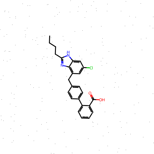 CCCCc1nc2c(Cc3ccc(-c4ccccc4C(=O)O)cc3)cc(Cl)cc2[nH]1